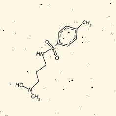 Cc1ccc(S(=O)(=O)NCCCN(C)O)cc1